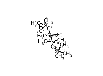 CC[Si](C)(O[Si](C)(C)C)[Si](C)(C)O[Si](C)(C)C